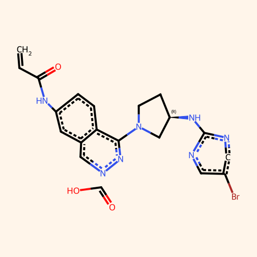 C=CC(=O)Nc1ccc2c(N3CC[C@@H](Nc4ncc(Br)cn4)C3)nncc2c1.O=CO